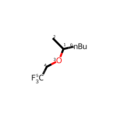 CCCCC(C)OCC(F)(F)F